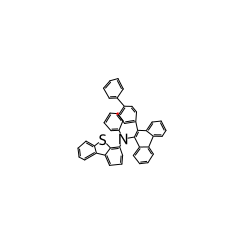 c1ccc(-c2ccc(-c3c(N(c4ccccc4)c4cccc5c4sc4ccccc45)c4ccccc4c4ccccc34)cc2)cc1